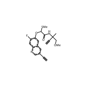 C#Cc1cnc2cc(F)c(OC(SC)C(=O)NC(C)(C#C)COC)cc2c1